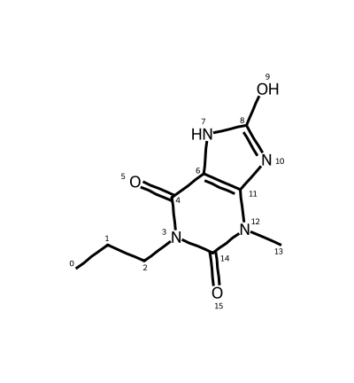 CCCn1c(=O)c2[nH]c(O)nc2n(C)c1=O